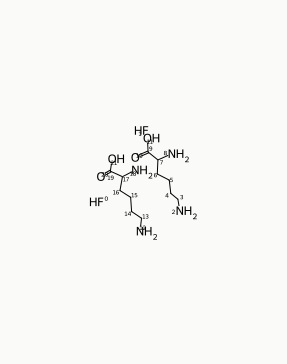 F.F.NCCCCC(N)C(=O)O.NCCCCC(N)C(=O)O